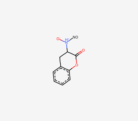 O=N[NH+]([O-])C1Cc2ccccc2OC1=O